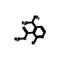 COC(=O)c1c(C(C)C)ccnc1Cl